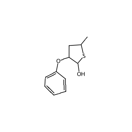 CC1CC(Oc2ccccc2)C(O)S1